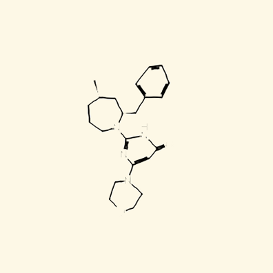 C[C@@H]1CCCN(c2nc(N3CCOCC3)cc(=O)[nH]2)[C@H](Cc2ccccc2)C1